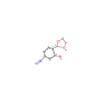 N#Cc1ccc(C2OCCO2)c(Br)c1